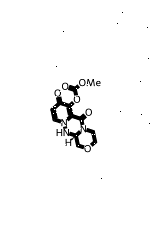 COC(=O)Oc1c2n(ccc1=O)N[C@@H]1COCCN1C2=O